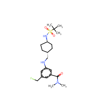 CN(C)C(=O)c1cc(CF)cc(NC[C@H]2CC[C@H](NS(=O)(=O)C(C)(C)C)CC2)c1